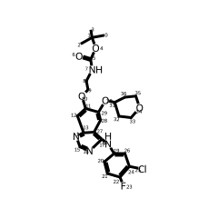 CC(C)(C)OC(=O)NCCOc1cc2ncnc(Nc3ccc(F)c(Cl)c3)c2cc1OC1CCOCC1